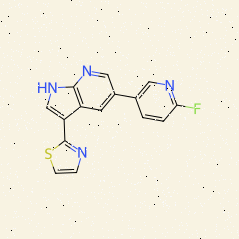 Fc1ccc(-c2cnc3[nH]cc(-c4nccs4)c3c2)cn1